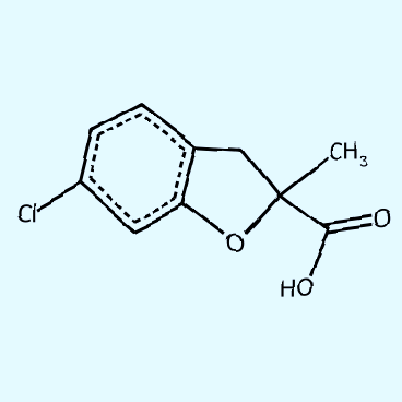 CC1(C(=O)O)Cc2ccc(Cl)cc2O1